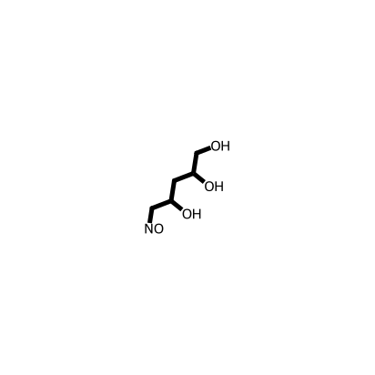 O=NCC(O)CC(O)CO